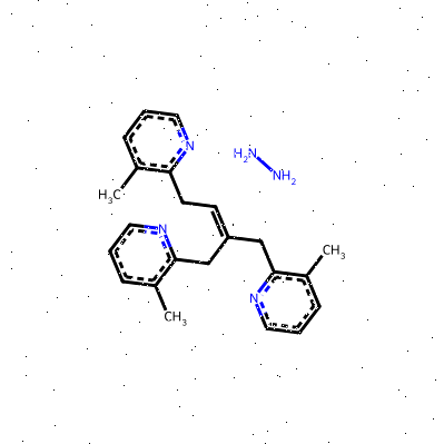 Cc1cccnc1CC=C(Cc1ncccc1C)Cc1ncccc1C.NN